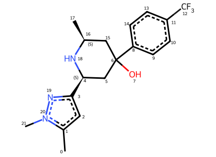 Cc1cc([C@@H]2CC(O)(c3ccc(C(F)(F)F)cc3)C[C@H](C)N2)nn1C